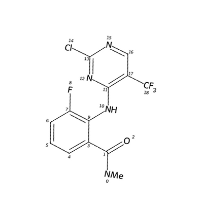 CNC(=O)c1cccc(F)c1Nc1nc(Cl)ncc1C(F)(F)F